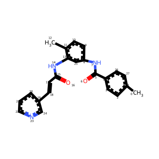 Cc1ccc(C(=O)Nc2ccc(C)c(NC(=O)C=Cc3cccnc3)c2)cc1